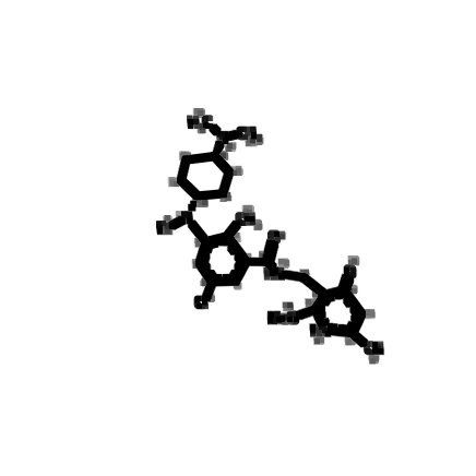 CCN(c1cc(Cl)cc(C(=O)NCc2c(OC)[nH]c(C#N)cc2=O)c1C)[C@H]1CC[C@H](N(C)C)CC1